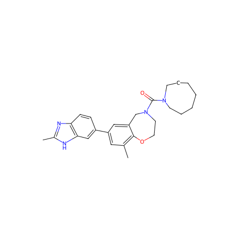 Cc1nc2ccc(-c3cc(C)c4c(c3)CN(C(=O)N3CCCCCCC3)CCO4)cc2[nH]1